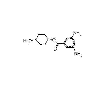 CC1CCC(OC(=O)c2cc(N)cc(N)c2)CC1